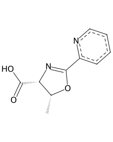 C[C@H]1OC(c2ccccn2)=N[C@H]1C(=O)O